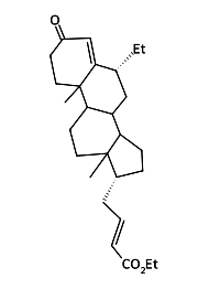 CCOC(=O)/C=C/C[C@H]1CCC2C3C[C@@H](CC)C4=CC(=O)CCC4(C)C3CCC21C